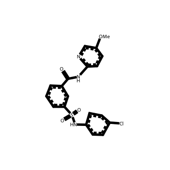 COc1ccc(NC(=O)c2cccc(S(=O)(=O)Nc3ccc(Cl)cc3)c2)nc1